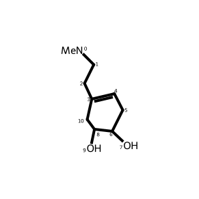 CNCCC1=CCC(O)C(O)C1